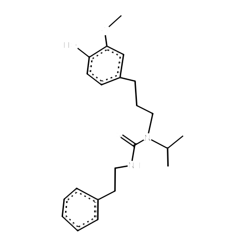 COc1cc(CCCN(C(=S)NCCc2ccccc2)C(C)C)ccc1O